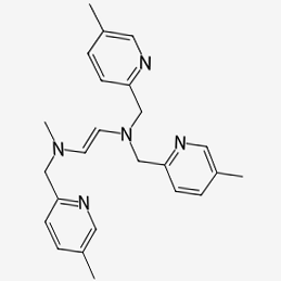 Cc1ccc(CN(C)/C=C/N(Cc2ccc(C)cn2)Cc2ccc(C)cn2)nc1